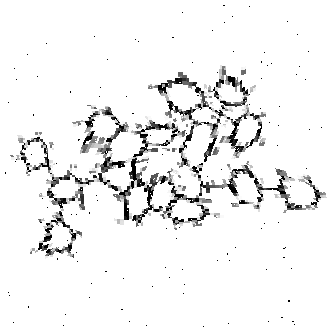 c1ccc(-c2ccc(N(c3ccc4c(c3)C(c3ccccc3)(c3ccccc3)c3ccccc3-4)c3cccc4c3sc3c4ccc4c3c3c5ccccc5c5ccccc5c3n4-c3nc(-c4ccccc4)cc(-c4ccccc4)n3)cc2)cc1